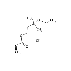 C=CC(=O)OCC[N+](C)(C)OCC.[Cl-]